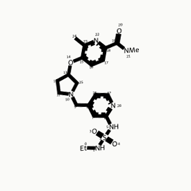 CCNS(=O)(=O)Nc1cc(CN2CCC(Oc3ccc(C(=O)NC)nc3C)C2)ccn1